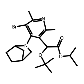 Cc1nc(C)c(C(OC(C)(C)C)C(=O)OC(C)C)c(N2CC3CCC2C3)c1Br